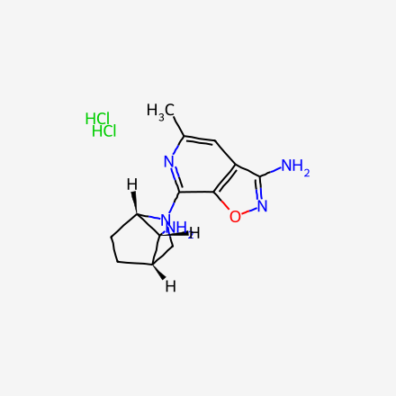 Cc1cc2c(N)noc2c(N2C[C@@H]3CC[C@H]2[C@@H]3N)n1.Cl.Cl